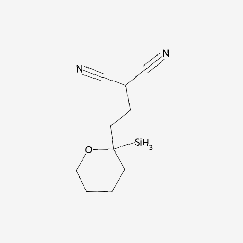 N#CC(C#N)CCC1([SiH3])CCCCO1